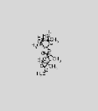 CCC(C)(CC(C)(C)C(=O)OC)C(=O)OC1CC(C)(C)NC(C)(C)C1